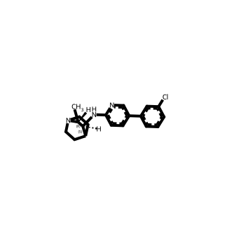 C[C@@H]1[C@@H](Nc2ccc(-c3cccc(Cl)c3)cn2)C2CCN1CC2